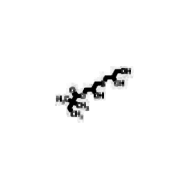 CCC(C)(C)C(=O)OCC(O)CSCC(O)CO